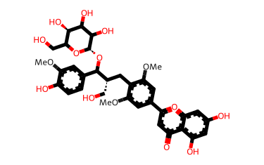 COc1cc(C(O[C@@H]2OC(CO)[C@@H](O)C(O)C2O)[C@@H](CO)Cc2c(OC)cc(-c3cc(=O)c4c(O)cc(O)cc4o3)cc2OC)ccc1O